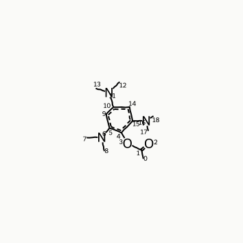 CC(=O)Oc1c(N(C)C)cc(N(C)C)cc1N(C)C